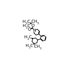 C=C1CC(c2ccccc2C2=CCN(C(=O)OC(C)(C)C)CC2)CC(C)(C)C1